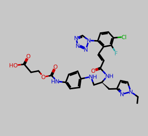 CCn1ccc(C[C@@H](CNc2ccc(NC(=O)OCCC(=O)O)cc2)NC(=O)/C=C/c2c(-n3cnnn3)ccc(Cl)c2F)n1